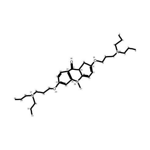 CCCN(CCC)CCCOC1=CC=C2C(C1)C(=O)c1ccc(OCCCN(CCC)CCC)cc1N2C